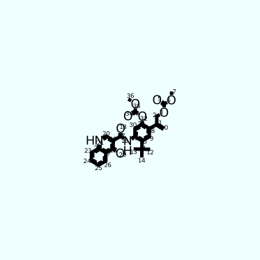 C=C(COC(=O)OC)c1cc(C(C)(C)C)c(NC(=O)c2c[nH]c3ccccc3c2=O)cc1OC(=O)OC